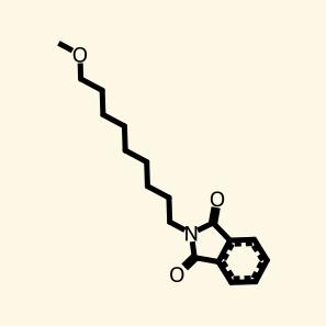 COCCCCCCCCCN1C(=O)c2ccccc2C1=O